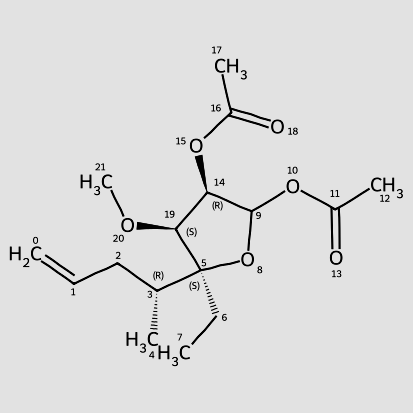 C=CC[C@@H](C)[C@]1(CC)OC(OC(C)=O)[C@H](OC(C)=O)[C@@H]1OC